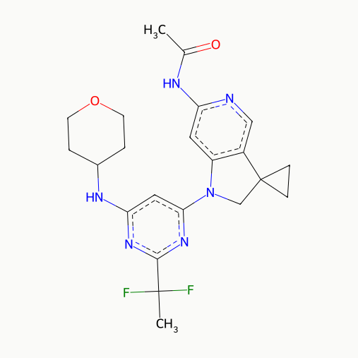 CC(=O)Nc1cc2c(cn1)C1(CC1)CN2c1cc(NC2CCOCC2)nc(C(C)(F)F)n1